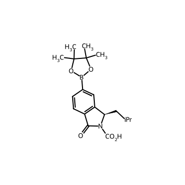 CC(C)C[C@@H]1c2cc(B3OC(C)(C)C(C)(C)O3)ccc2C(=O)N1C(=O)O